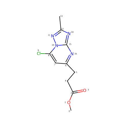 COC(=O)CCc1cc(Cl)n2nc(C)nc2n1